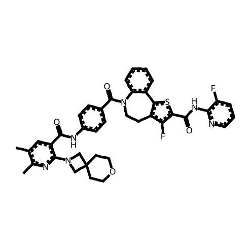 Cc1cc(C(=O)Nc2ccc(C(=O)N3CCc4c(sc(C(=O)Nc5ncccc5F)c4F)-c4ccccc43)cc2)c(N2CC3(CCOCC3)C2)nc1C